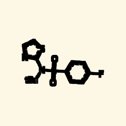 CC(C)(C)N(c1nccs1)S(=O)(=O)c1ccc(F)cc1